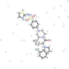 CC1CN(c2ccc(S(=O)(=O)Nc3nccs3)cc2)CCN1C(=O)C(C)n1ccc2cccc(Cl)c21